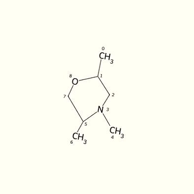 CC1CN(C)C(C)CO1